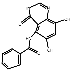 Cc1cc(O)c2nc[nH]c(=O)c2c1NC(=O)c1ccccc1